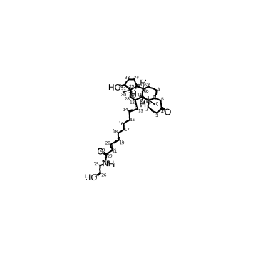 C[C@]12CCC(=O)CC1CC[C@@H]1[C@H]2C(CCCCCCCCCC(=O)NCCO)C[C@]2(C)C(O)CC[C@@H]12